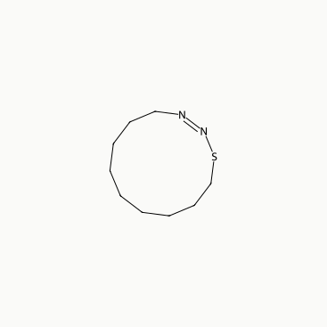 C1CCCC/N=N\SCCCC1